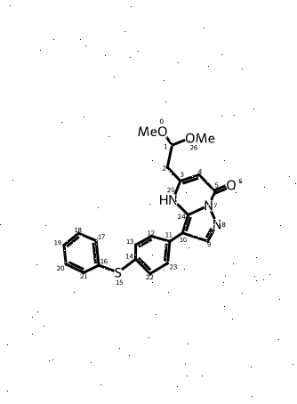 COC(Cc1cc(=O)n2ncc(-c3ccc(Sc4ccccc4)cc3)c2[nH]1)OC